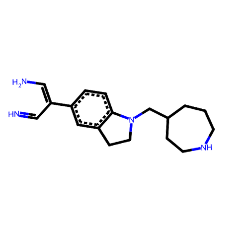 N=C/C(=C\N)c1ccc2c(c1)CCN2CC1CCCNCC1